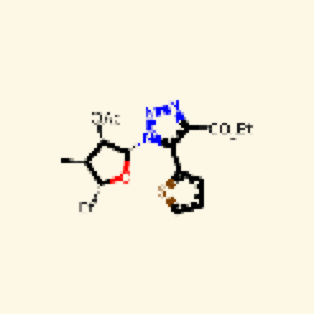 CCOC(=O)c1nnn([C@@H]2O[C@H](CC)[C@@H](C)[C@H]2OC(C)=O)c1-c1cccs1